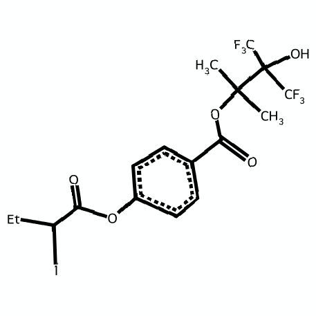 CCC(I)C(=O)Oc1ccc(C(=O)OC(C)(C)C(O)(C(F)(F)F)C(F)(F)F)cc1